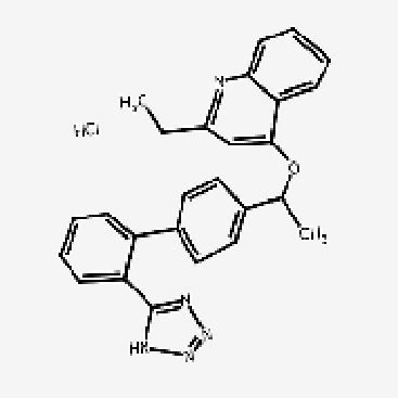 CCc1cc(OC(C)c2ccc(-c3ccccc3-c3nnn[nH]3)cc2)c2ccccc2n1.Cl